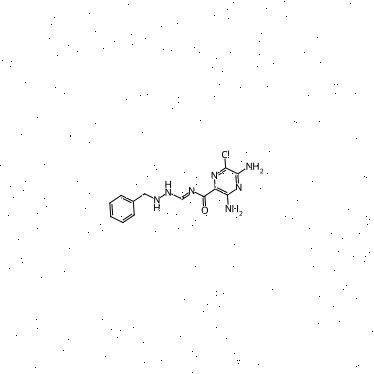 Nc1nc(N)c(C(=O)N=CNNCc2ccccc2)nc1Cl